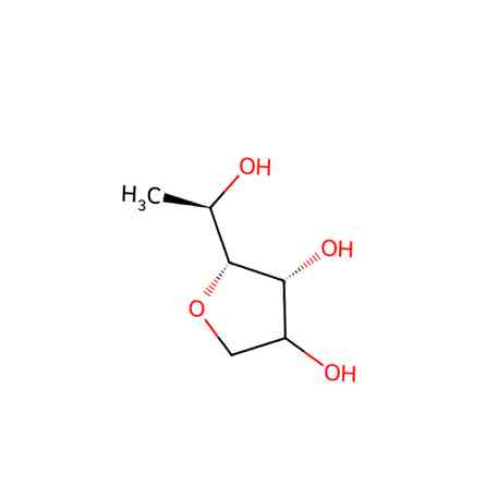 C[C@@H](O)[C@H]1OCC(O)[C@H]1O